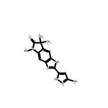 CCCc1cc(-c2nc3cc4c(cc3[nH]2)C(C)(C)C(=O)N4C(C)C)[nH]n1